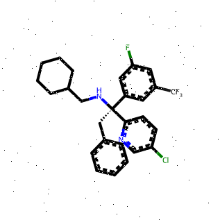 Fc1cc(C(F)(F)F)cc([C@](Cc2ccccc2)(NCC2CCCCC2)c2ccc(Cl)cn2)c1